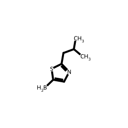 Bc1cnc(CC(C)C)s1